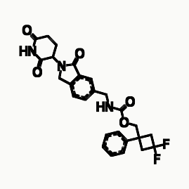 O=C1CCC(N2Cc3ccc(CNC(=O)OCC4(c5ccccc5)CC(F)(F)C4)cc3C2=O)C(=O)N1